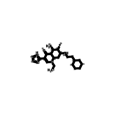 CCN1C=C(c2nnn[nH]2)C(=O)C2C(N)C(F)C(NCCC3CCCCC3)CC21